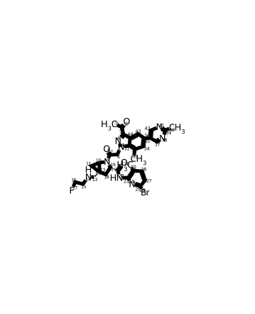 CC(=O)c1nn(CC(=O)N2C3C[C@]3(CNCCF)C[C@H]2C(=O)Nc2nc(Br)ccc2C)c2c(C)cc(-c3cnc(C)nc3)cc12